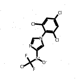 [O-][S+](c1cn(-c2c(Cl)cc(Cl)cc2Cl)cn1)C(F)(F)Cl